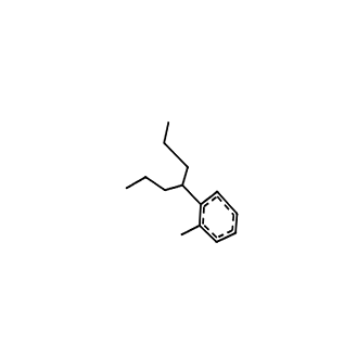 CCCC(CCC)c1ccccc1C